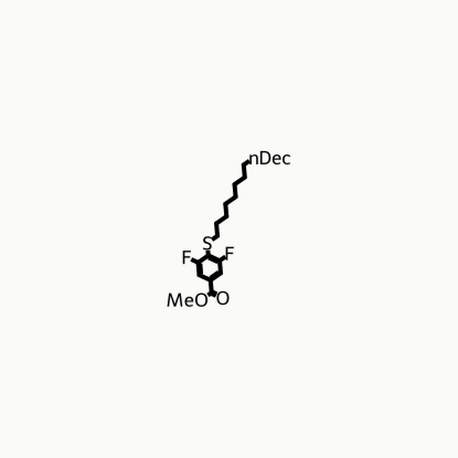 CCCCCCCCCCCCCCCCCCSc1c(F)cc(C(=O)OC)cc1F